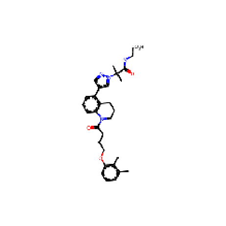 Cc1cccc(OCCCC(=O)N2CCCc3c(-c4cnn(C(C)(C)C(=O)NCC(=O)O)c4)cccc32)c1C